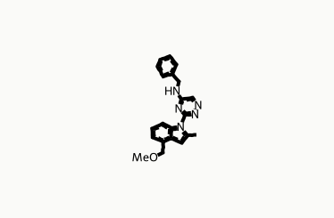 COCc1cccc2c1cc(C)n2-c1nncc(NCc2ccccc2)n1